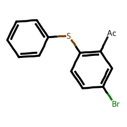 CC(=O)c1cc(Br)ccc1Sc1ccccc1